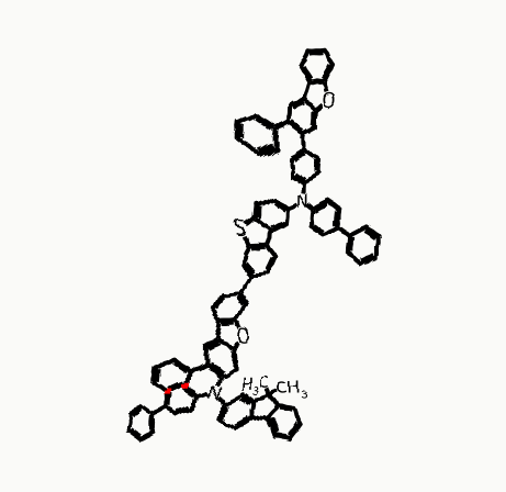 CC1(C)c2ccccc2-c2ccc(N(c3ccc(-c4ccccc4)cc3)c3cc4oc5cc(-c6ccc7c(c6)sc6ccc(N(c8ccc(-c9ccccc9)cc8)c8ccc(-c9cc%10oc%11ccccc%11c%10cc9-c9ccccc9)cc8)cc67)ccc5c4cc3-c3ccccc3)cc21